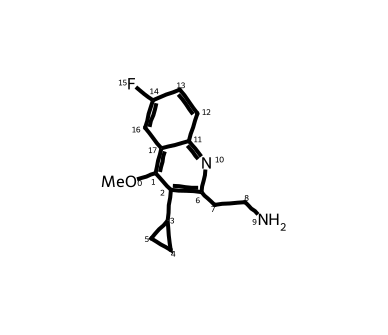 COc1c(C2CC2)c(CCN)nc2ccc(F)cc12